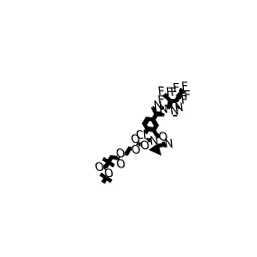 Cn1nc(C(F)(F)C(F)(F)F)c(C(F)(F)F)c1-n1cc(-c2ccc(Cl)c(C(=O)N(COC(=O)OCCOC(=O)CC(C)(C)C(=O)OC(C)(C)C)C3(C#N)CC3)c2)cn1